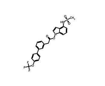 CS(=O)(=O)Nc1cccc2c1ccn2OC(=O)Cc1cccc(-c2ccc(OC(F)(F)F)cc2)c1